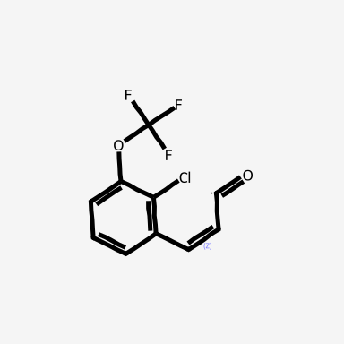 O=[C]/C=C\c1cccc(OC(F)(F)F)c1Cl